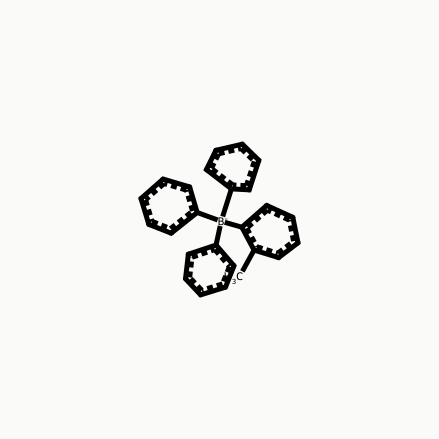 Cc1ccccc1[B-](c1ccccc1)(c1ccccc1)c1ccccc1